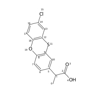 CC(C(=O)O)c1ccc2c(c1)Sc1cc(Cl)ccc1O2